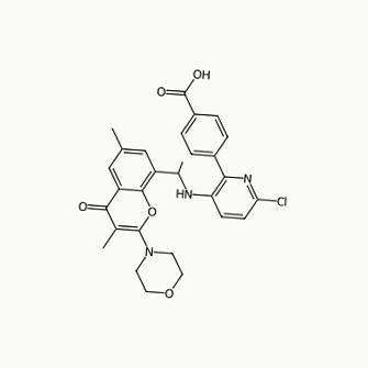 Cc1cc(C(C)Nc2ccc(Cl)nc2-c2ccc(C(=O)O)cc2)c2oc(N3CCOCC3)c(C)c(=O)c2c1